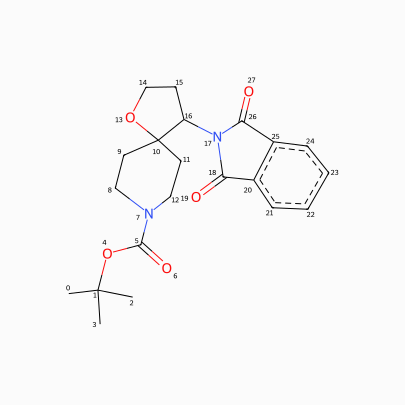 CC(C)(C)OC(=O)N1CCC2(CC1)OCCC2N1C(=O)c2ccccc2C1=O